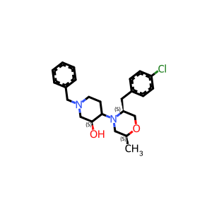 C[C@H]1CN(C2CCN(Cc3ccccc3)C[C@@H]2O)[C@@H](Cc2ccc(Cl)cc2)CO1